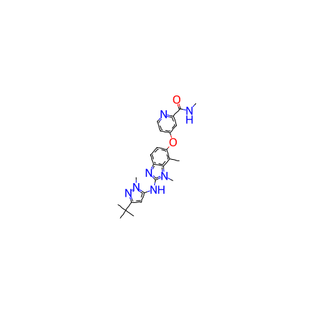 CNC(=O)c1cc(Oc2ccc3nc(Nc4cc(C(C)(C)C)nn4C)n(C)c3c2C)ccn1